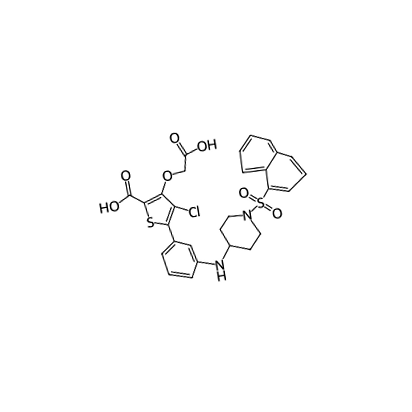 O=C(O)COc1c(C(=O)O)sc(-c2cccc(NC3CCN(S(=O)(=O)c4cccc5ccccc45)CC3)c2)c1Cl